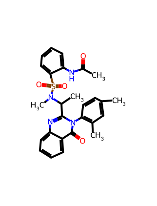 CC(=O)Nc1ccccc1S(=O)(=O)N(C)C(C)c1nc2ccccc2c(=O)n1-c1ccc(C)cc1C